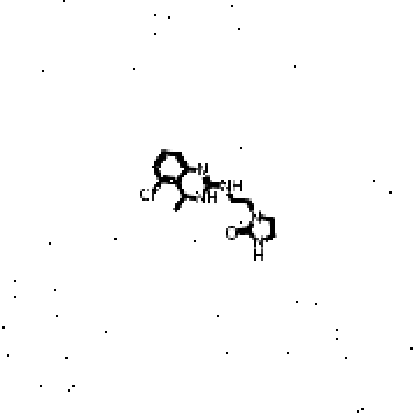 CC1NC(NCCN2CCNC2=O)=Nc2cccc(Cl)c21